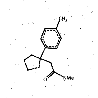 CNC(=O)CC1(c2ccc(C)cc2)CCCC1